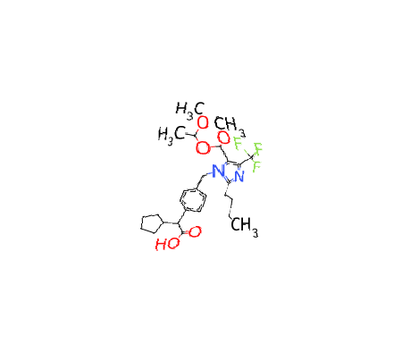 CCCCc1nc(C(F)(F)F)c(C(OC)OC(C)OC)n1Cc1ccc(C(C(=O)O)C2CCCC2)cc1